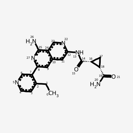 CCc1ccncc1-c1cc2cc(NC(=O)[C@@H]3C[C@@H]3C(N)=O)ncc2c(N)n1